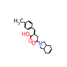 Cc1ccc(C=C(CC(=O)N2CC3CC=CCC3C2)C(=O)O)cc1